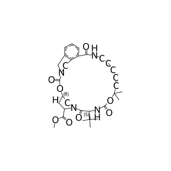 COC(=O)C1C[C@@H]2CN1C(=O)[C@H](C(C)(C)C)NC(=O)OC(C)(C)CCCCCNC(=O)c1cccc3c1CN(C3)C(=O)O2